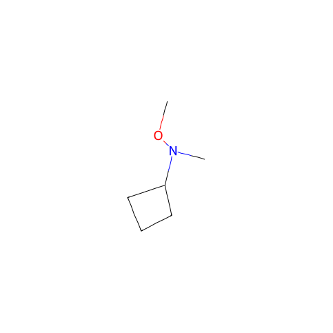 CON(C)C1CCC1